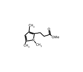 COC(=O)CCc1c(C)cc(C)n1C